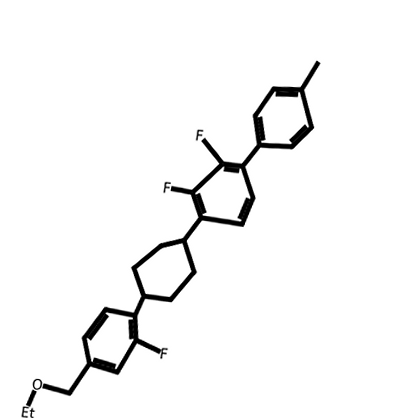 CCOCc1ccc(C2CCC(c3ccc(-c4ccc(C)cc4)c(F)c3F)CC2)c(F)c1